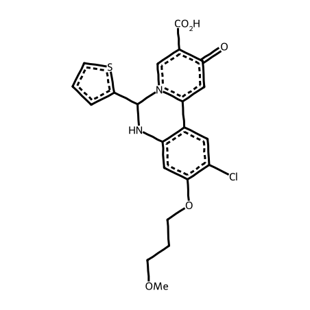 COCCCOc1cc2c(cc1Cl)-c1cc(=O)c(C(=O)O)cn1C(c1cccs1)N2